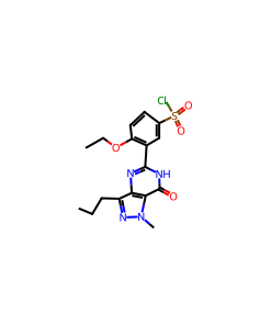 CCCc1nn(C)c2c(=O)[nH]c(-c3cc(S(=O)(=O)Cl)ccc3OCC)nc12